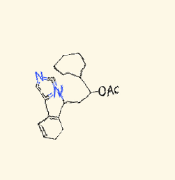 CC(=O)OC(CC1C2=C(C=CCC2)c2cncn21)C1CCCCC1